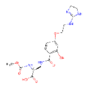 COC(=O)N[C@@H](CNC(=O)c1ccc(OCCNC2=NCCN2)cc1O)C(=O)O